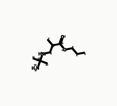 CCCOC(=O)C(C)CNC(C)(C)N